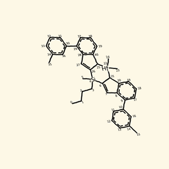 CCCC[Si]1(C)C2=Cc3c(-c4cccc(C)c4)cccc3[CH]2[Hf]([CH3])([CH3])[CH]2C1=Cc1c(-c3cccc(C)c3)cccc12